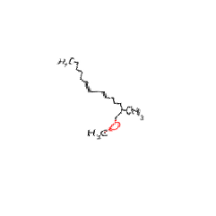 CCCCCCCCCCCC[C](C)COC